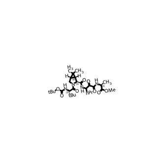 CCCC(NC(=O)[C@@H]1[C@@H]2[C@H](CN1C(=O)[C@@H](NC(=O)OC(C)(C)C)C(C)(C)C)C2(C)C)C(=O)C(=O)N[C@@H](C)C(=O)OC